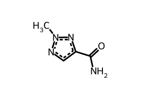 Cn1ncc(C(N)=O)n1